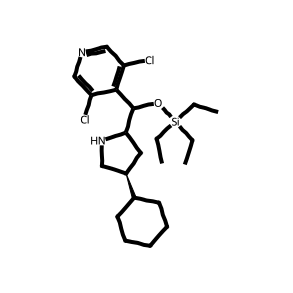 CC[Si](CC)(CC)OC(c1c(Cl)cncc1Cl)C1C[C@@H](C2CCCCC2)CN1